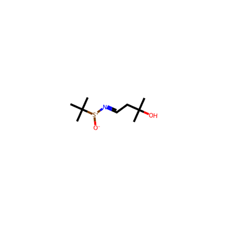 CC(C)(O)C/C=N/[S+]([O-])C(C)(C)C